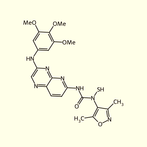 COc1cc(Nc2cnc3ccc(NC(=O)N(S)c4c(C)noc4C)nc3n2)cc(OC)c1OC